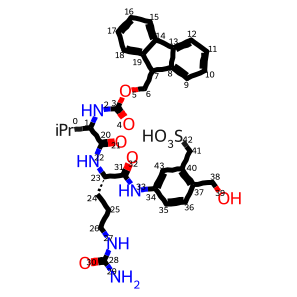 CC(C)C(NC(=O)OCC1c2ccccc2-c2ccccc21)C(=O)N[C@@H](CCCNC(N)=O)C(=O)Nc1ccc(CO)c(CS(=O)(=O)O)c1